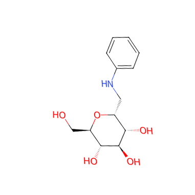 OC[C@H]1O[C@H](CNc2ccccc2)[C@H](O)[C@@H](O)[C@@H]1O